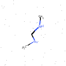 CNCNC